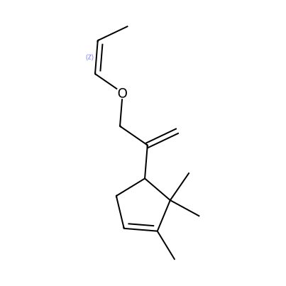 C=C(CO/C=C\C)C1CC=C(C)C1(C)C